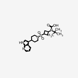 CC(C)(C)N(C(=O)O)C1CC(S(=O)(=O)N2CCC(c3c[nH]c4ncccc34)CC2)C1